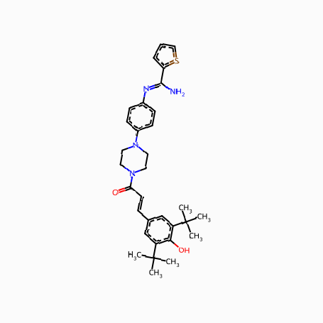 CC(C)(C)c1cc(C=CC(=O)N2CCN(c3ccc(N=C(N)c4cccs4)cc3)CC2)cc(C(C)(C)C)c1O